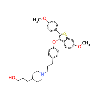 COc1ccc(-c2sc3cc(OC)ccc3c2Oc2ccc(CCCN3CCC(CCCO)CC3)cc2)cc1